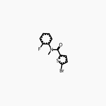 CN(C(=O)c1ccc(Br)s1)c1ccccc1F